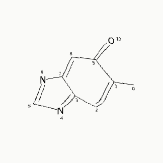 CC1=CC2=NC=NC2=CC1=O